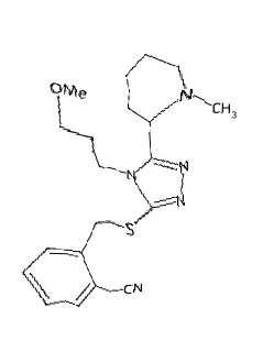 COCCCn1c(SCc2ccccc2C#N)nnc1C1CCCCN1C